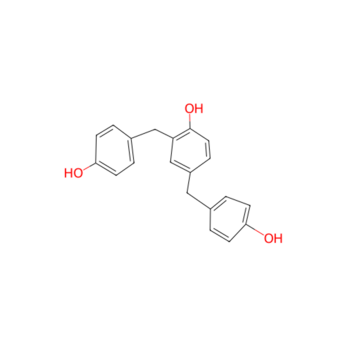 Oc1ccc(Cc2ccc(O)c(Cc3ccc(O)cc3)c2)cc1